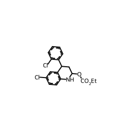 CCOC(=O)OC1CC(c2ccccc2Cl)c2cc(Cl)ccc2N1